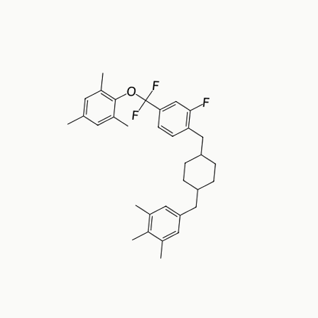 Cc1cc(C)c(OC(F)(F)c2ccc(CC3CCC(Cc4cc(C)c(C)c(C)c4)CC3)c(F)c2)c(C)c1